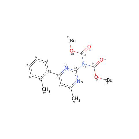 Cc1cc(-c2ccccc2C)nc(N(C(=O)OC(C)(C)C)C(=O)OC(C)(C)C)n1